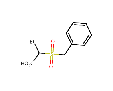 CCC(C(=O)O)S(=O)(=O)Cc1ccccc1